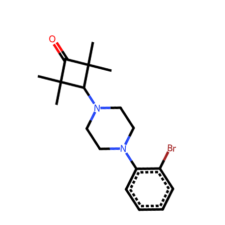 CC1(C)C(=O)C(C)(C)C1N1CCN(c2ccccc2Br)CC1